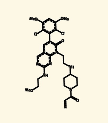 C=CC(=O)N1CCC(NCCn2c(=O)c(-c3c(Cl)c(OC)cc(OC)c3Cl)cc3cnc(NCCOC)nc32)CC1